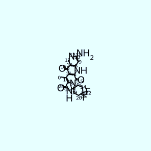 Cc1c2n(c(=O)c3[nH]c4cc(N)ncc4c(=O)c13)C1(CCC(F)(F)CC1)NC2=O